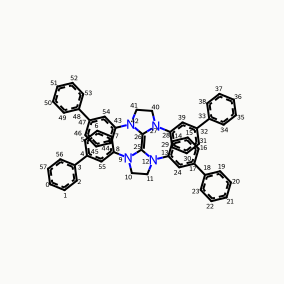 c1ccc(-c2cccc(N3CCN(c4cccc(-c5ccccc5)c4)C3=C3N(c4cccc(-c5ccccc5)c4)CCN3c3cccc(-c4ccccc4)c3)c2)cc1